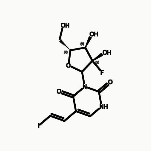 O=c1[nH]cc(C=CI)c(=O)n1C1O[C@H](CO)[C@@H](O)[C@]1(O)F